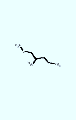 CCCC(N)COP